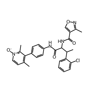 Cc1cc[n+]([O-])c(C)c1-c1ccc(NC(=O)C(NC(=O)c2conc2C)C(C)c2ccccc2Cl)cc1